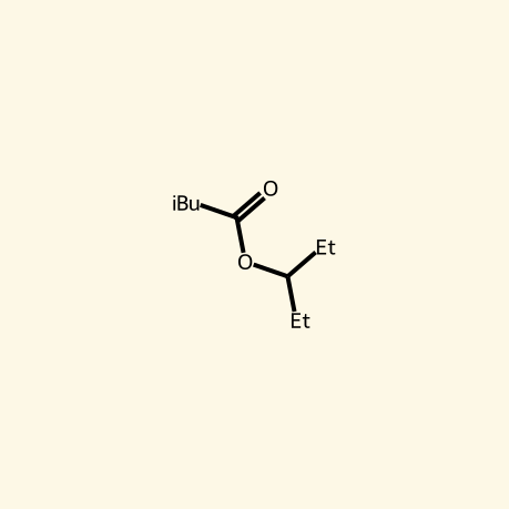 CCC(CC)OC(=O)C(C)CC